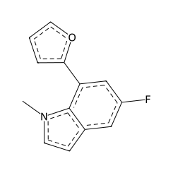 Cn1ccc2cc(F)cc(-c3ccco3)c21